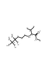 COC(=O)C(SCCCC(F)(F)C(F)(F)F)C(C)C